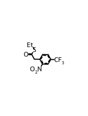 CCSC(=O)Cc1ccc(C(F)(F)F)cc1[N+](=O)[O-]